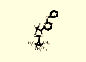 CC1(C)C(C(=O)OC(c2cccc(Oc3ccccc3)n2)C(F)(F)F)C1(C)C